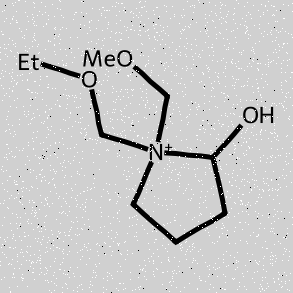 CCOC[N+]1(COC)CCCC1O